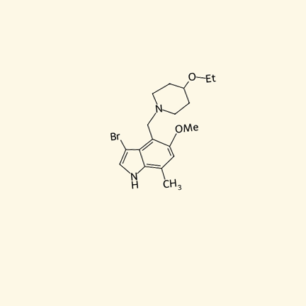 CCOC1CCN(Cc2c(OC)cc(C)c3[nH]cc(Br)c23)CC1